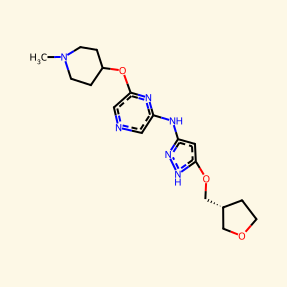 CN1CCC(Oc2cncc(Nc3cc(OC[C@@H]4CCOC4)[nH]n3)n2)CC1